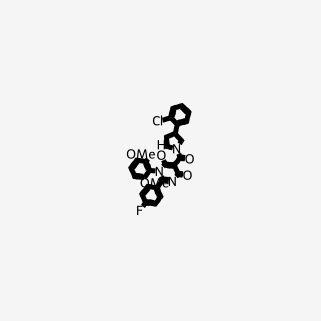 COc1cccc(OC)c1-n1c(-c2ccc(F)cc2)nc(=O)c(C(=O)N2CCC(c3ccccc3Cl)C2)c1O